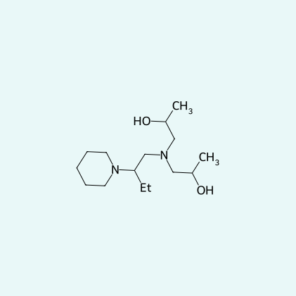 CCC(CN(CC(C)O)CC(C)O)N1CCCCC1